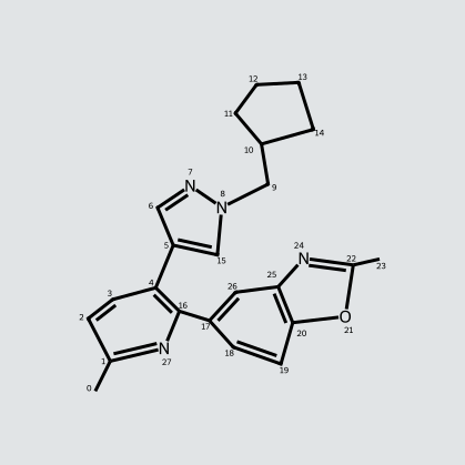 Cc1ccc(-c2cnn(CC3CCCC3)c2)c(-c2ccc3oc(C)nc3c2)n1